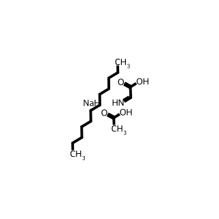 CC(=O)O.CCCCCCCCCCCC.N=CC(=O)O.[NaH]